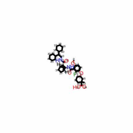 COc1ccc(OC2CCCC(C)(C(=O)O)C2)c(F)c1C(=O)N[C@@H]1[C@H]2CC[C@H](C2)[C@@H]1C(=O)NCC(C1CCCCC1)C1CCCCC1